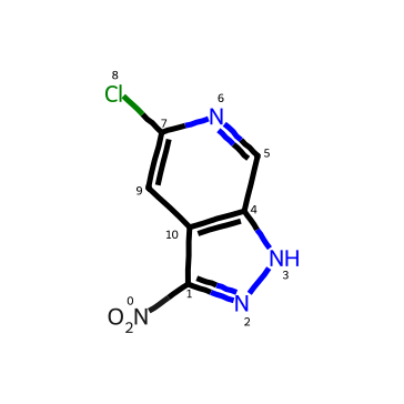 O=[N+]([O-])c1n[nH]c2cnc(Cl)cc12